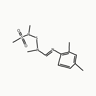 Cc1ccc(N=CN(C)SN(C)S(C)(=O)=O)c(C)c1